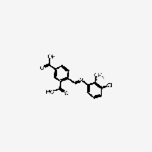 Cc1c(Cl)cccc1N=Cc1ccc(C(=O)O)cc1C(=O)O